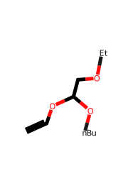 C=COC(COCC)OCCCC